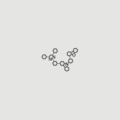 c1ccc(-c2cc(-c3ccccc3)nc(-c3cccc(-c4ccc5c(c4)c4ccccc4n5-c4cccc(-c5cccc6c5oc5ccccc56)c4)c3)n2)cc1